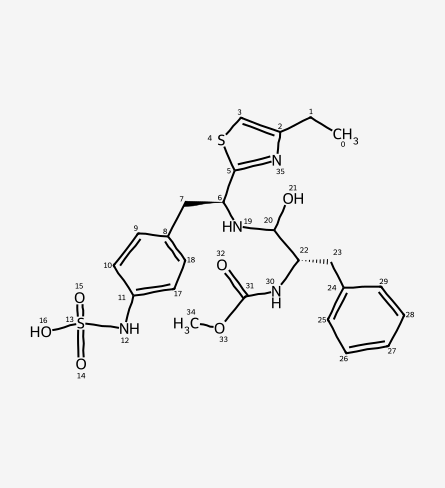 CCc1csc([C@H](Cc2ccc(NS(=O)(=O)O)cc2)NC(O)[C@H](Cc2ccccc2)NC(=O)OC)n1